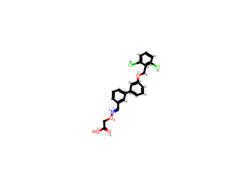 O=C(O)CO/N=C/c1cccc(-c2cccc(OCc3c(Cl)cccc3Cl)c2)c1